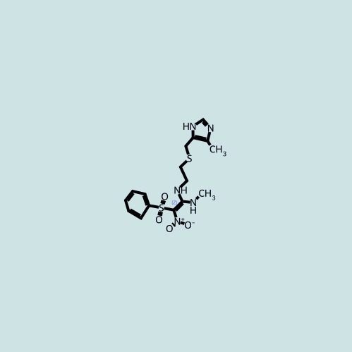 CN/C(NCCSCc1[nH]cnc1C)=C(\[N+](=O)[O-])S(=O)(=O)c1ccccc1